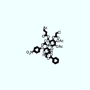 CC(=O)CCC(=O)OC[C@H]1O[C@@H](O[C@@H]2[C@@H](NC(=O)C(Cl)(Cl)Cl)[C@@H](Oc3ccc([N+](=O)[O-])cc3)O[C@@H]3COC(c4ccccc4)O[C@@H]23)[C@H](OC(C)=O)[C@@H](OC(C)=O)[C@@H]1OC(=O)CCl